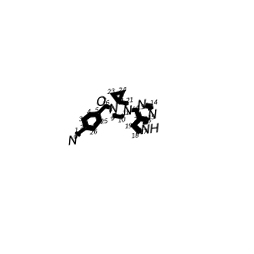 N#Cc1ccc(C(=O)N2CCN(c3ncnc4[nH]ccc34)CC23CC3)cc1